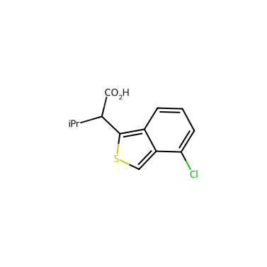 CC(C)C(C(=O)O)c1scc2c(Cl)cccc12